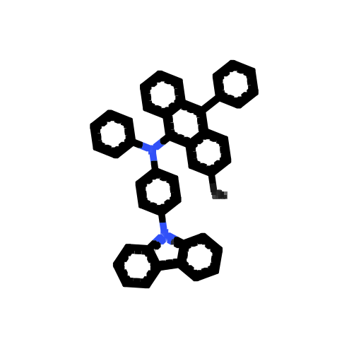 CC(C)(C)c1ccc2c(-c3ccccc3)c3ccccc3c(N(c3ccccc3)c3ccc(-n4c5ccccc5c5ccccc54)cc3)c2c1